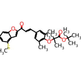 CSc1cccc2oc(C(=O)/C=C/c3cc(C)c(OC(C)(C)C(=O)OC(C)(C)C)c(C)c3)cc12